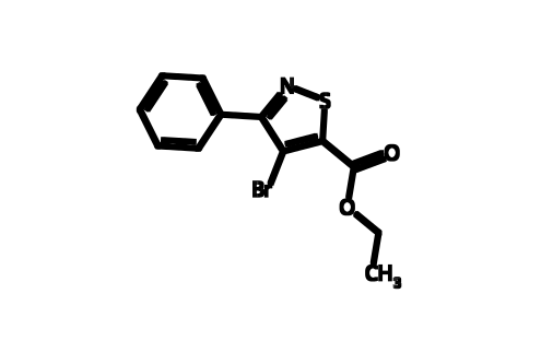 CCOC(=O)c1snc(-c2ccccc2)c1Br